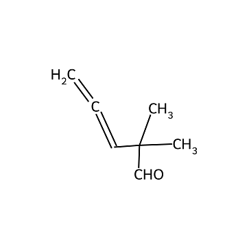 C=C=CC(C)(C)C=O